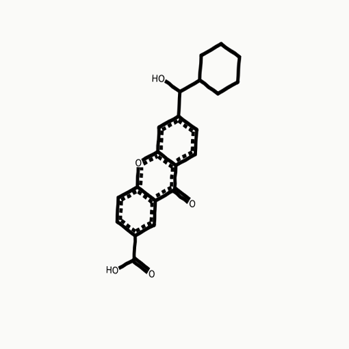 O=C(O)c1ccc2oc3cc(C(O)C4CCCCC4)ccc3c(=O)c2c1